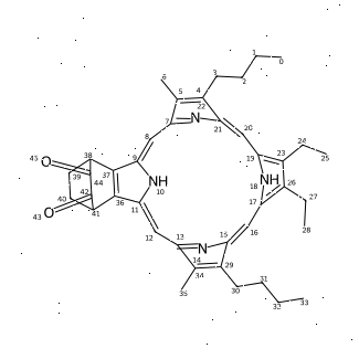 CCCCC1=C(C)c2cc3[nH]c(cc4nc(cc5[nH]c(cc1n2)c(CC)c5CC)C(CCCC)=C4C)c1c3C2CCC1C(=O)C2=O